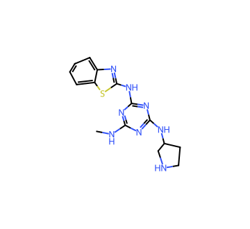 CNc1nc(Nc2nc3ccccc3s2)nc(NC2CCNC2)n1